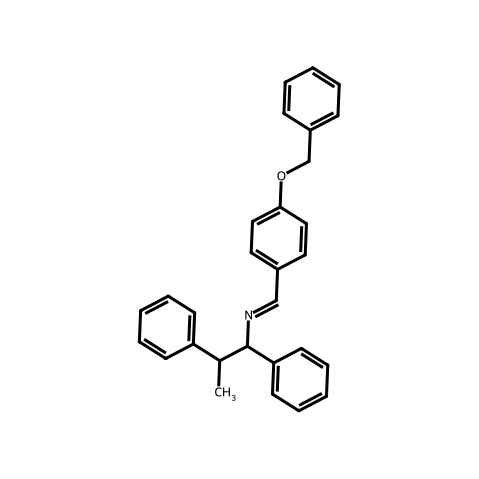 CC(c1ccccc1)C(N=Cc1ccc(OCc2ccccc2)cc1)c1ccccc1